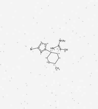 CC(=O)NC(=S)N[C@@]1(c2nc(Br)cs2)CO[C@@H](C)C[C@H]1CO